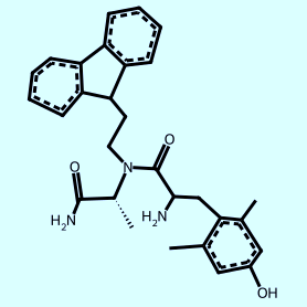 Cc1cc(O)cc(C)c1CC(N)C(=O)N(CCC1c2ccccc2-c2ccccc21)[C@H](C)C(N)=O